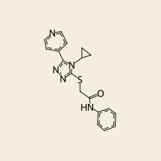 O=C(CSc1nnc(-c2ccncc2)n1C1CC1)Nc1ccccc1